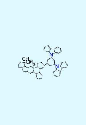 CC1(C)C=CC=C2C=c3cc4c5ccccc5c5cc(-c6cc(-n7c8ccccc8c8ccccc87)cc(-n7c8ccccc8c8ccccc87)c6)ccc5c4cc3=C21